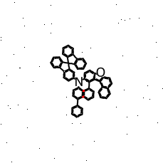 c1ccc(-c2ccc(N(c3ccc4c(c3)C3(c5ccccc5-c5ccccc53)c3ccccc3-4)c3ccc4oc5ccc6ccccc6c5c4c3-c3ccccc3)cc2)cc1